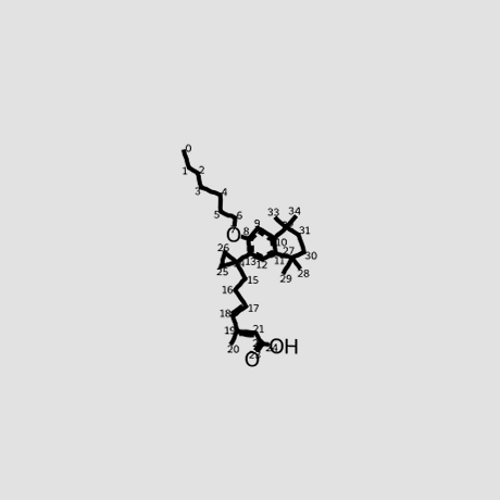 CCCCCCCOc1cc2c(cc1C1(CCC=CC(C)=CC(=O)O)CC1)C(C)(C)CCC2(C)C